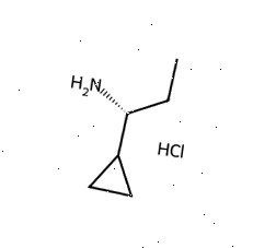 CC[C@@H](N)C1CC1.Cl